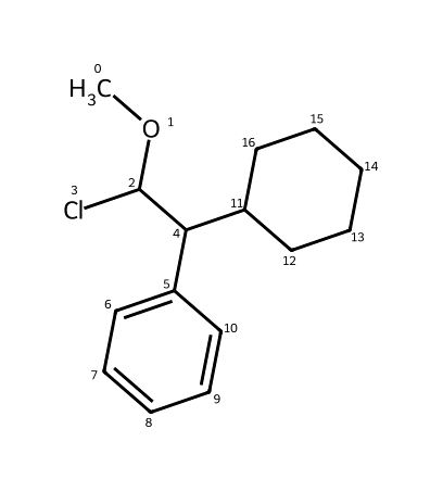 COC(Cl)C(c1ccccc1)C1CCCCC1